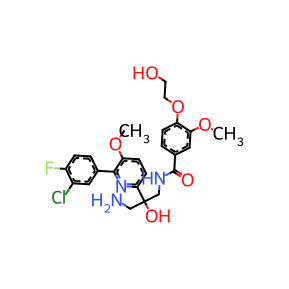 COc1cc(C(=O)NCC(O)(CN)c2ccc(OC)c(-c3ccc(F)c(Cl)c3)n2)ccc1OCCO